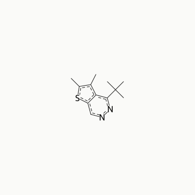 Cc1sc2cnnc(C(C)(C)C)c2c1C